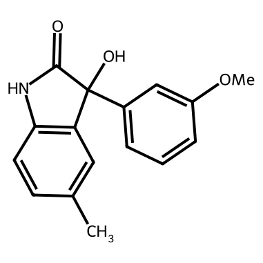 COc1cccc(C2(O)C(=O)Nc3ccc(C)cc32)c1